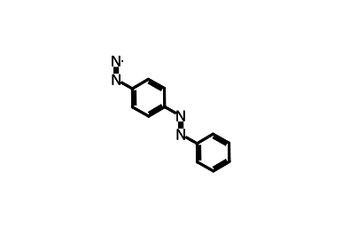 [N]=Nc1ccc(N=Nc2ccccc2)cc1